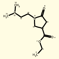 CCOC(=O)C1CC(=O)N(CCN(C)C)C1